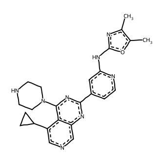 Cc1nc(Nc2cc(-c3nc(N4CCNCC4)c4c(C5CC5)cncc4n3)ccn2)oc1C